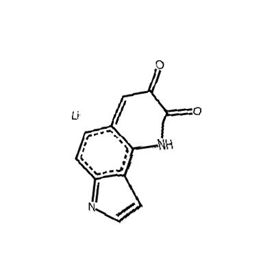 O=C1C=c2ccc3c(c2NC1=O)C=CN=3.[Li]